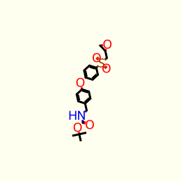 CC(C)(C)OC(=O)NCc1ccc(Oc2ccc(S(=O)(=O)CC3CO3)cc2)cc1